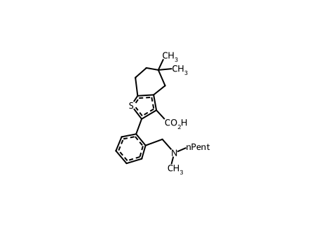 CCCCCN(C)Cc1ccccc1-c1sc2c(c1C(=O)O)CC(C)(C)CC2